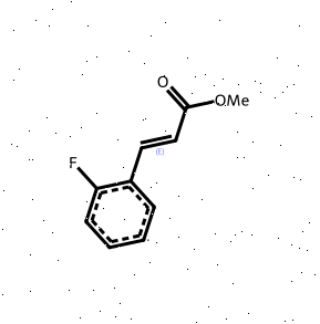 COC(=O)/C=C/c1c[c]ccc1F